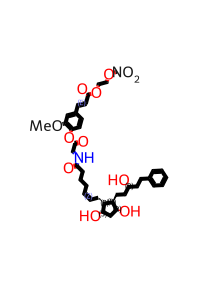 COc1cc(/C=C/C(=O)OCCO[N+](=O)[O-])ccc1OC(=O)CNC(=O)CCC/C=C\C[C@@H]1[C@@H](CC[C@@H](O)CCc2ccccc2)[C@H](O)C[C@@H]1O